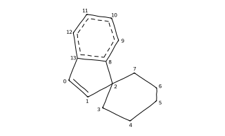 C1=CC2(CCCCC2)c2ccccc21